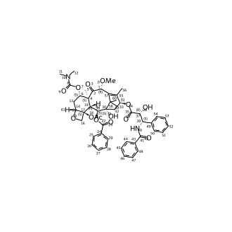 CO[C@H]1C(=O)[C@]2(C)[C@@H](OC(=O)N(C)C)C[C@H]3OC[C@@]3(OC(C)=O)[C@H]2[C@H](OC(=O)c2ccccc2)[C@]2(O)C[C@H](OC(=O)[C@H](O)[C@@H](NC(=O)c3ccccc3)c3ccccc3)C(C)=C1C2(C)C